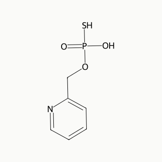 O=P(O)(S)OCc1ccccn1